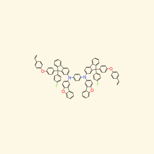 C=Cc1ccc(Oc2ccc(C3(c4ccc(F)cc4)c4ccccc4-c4ccc(N(c5ccc(N(c6ccc7c(c6)C(c6ccc(F)cc6)(c6ccc(Oc8ccc(C=C)cc8)cc6)c6ccccc6-7)c6ccc7oc8ccccc8c7c6)cc5)c5ccc6oc7ccccc7c6c5)cc43)cc2)cc1